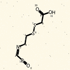 O=B/C=N\CCSSCC(=O)O